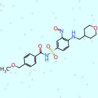 COCc1ccc(C(=O)NS(=O)(=O)c2ccc(NCC3CCOCC3)c(N=O)c2)cc1